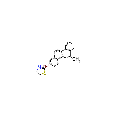 C1=NCCS1.CC1Cc2c(ccc3cc(Br)ccc23)C2=C1CCC=C2